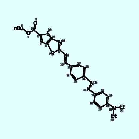 CCCCOC(=O)c1cc2sc(N=Nc3ccc(N=Nc4ccc(N(CC)CC)cc4)cc3)nc2s1